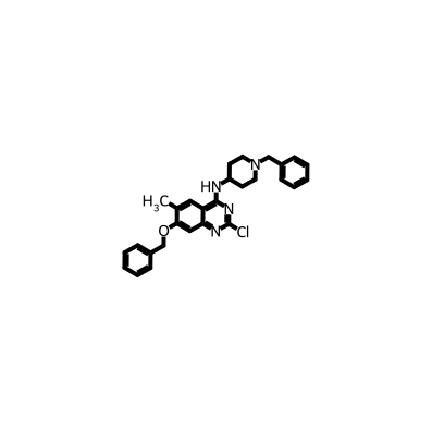 Cc1cc2c(NC3CCN(Cc4ccccc4)CC3)nc(Cl)nc2cc1OCc1ccccc1